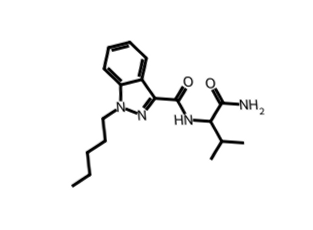 CCCCCn1nc(C(=O)NC(C(N)=O)C(C)C)c2ccccc21